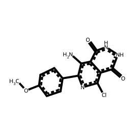 COc1ccc(-c2nc(Cl)c3c(=O)[nH][nH]c(=O)c3c2N)cc1